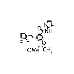 COC[C@H](C)Oc1cc(C=Cc2cccc(F)c2F)cc(C(=O)Nc2cnccn2)c1